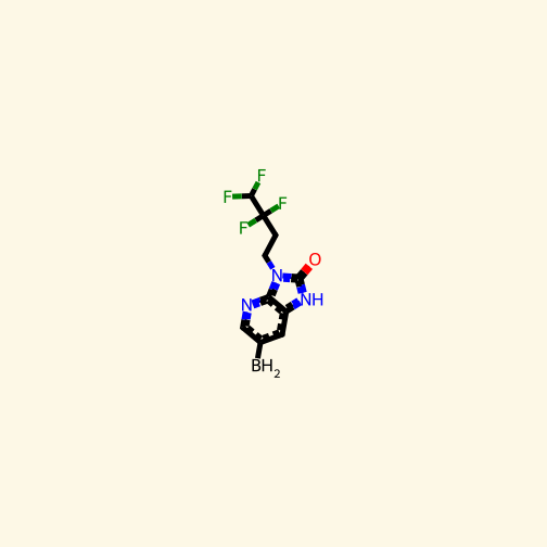 Bc1cnc2c(c1)[nH]c(=O)n2CCC(F)(F)C(F)F